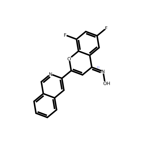 O/N=c1\cc(-c2cc3ccccc3cn2)oc2c(F)cc(F)cc12